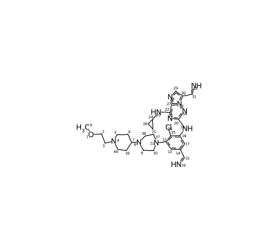 COCCN1CCC(N2CCN(c3cc(C=N)cc(Nc4nc(NC5CC5)c5ncc(C=N)n5n4)c3Cl)CC2)CC1